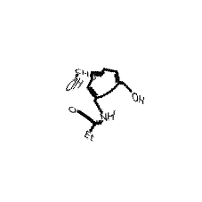 CCC(=O)Nc1ccccc1O.O=CO